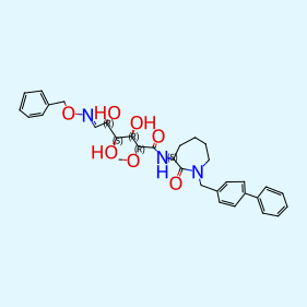 CO[C@@H](C(=O)N[C@H]1CCCCN(Cc2ccc(-c3ccccc3)cc2)C1=O)[C@H](O)[C@@H](O)[C@H](O)C=NOCc1ccccc1